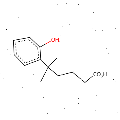 CC(C)(CCCC(=O)O)c1ccccc1O